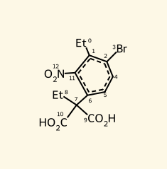 CCc1c(Br)ccc(C(CC)(C(=O)O)C(=O)O)c1[N+](=O)[O-]